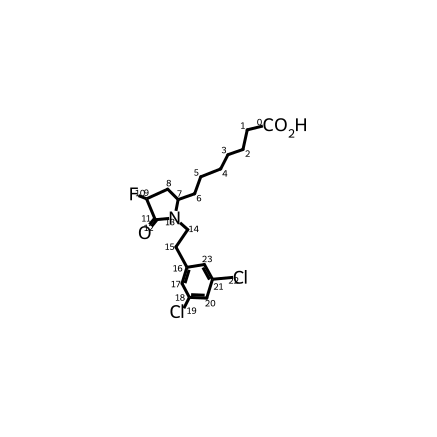 O=C(O)CCCCCCC1CC(F)C(=O)N1CCc1cc(Cl)cc(Cl)c1